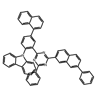 c1ccc(-c2ccc3ccc(-c4nc(-c5ccccc5)nc(-c5cc(-c6cccc7ccccc67)ccc5-n5c6ccccc6c6ccccc65)n4)cc3c2)cc1